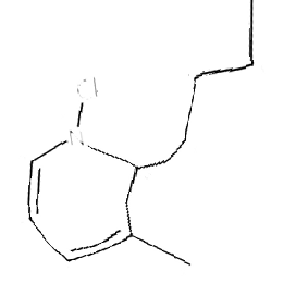 CCCCC1C(C)=CC=CN1Cl